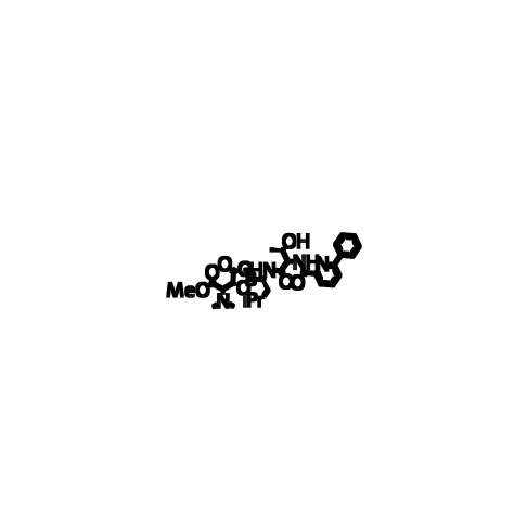 COC(=O)[C@@H]([C@H]1OB([C@H](CC(C)C)NC(=O)C(NC(=O)c2cccc(-c3ccccc3)n2)[C@@H](C)O)OC1=O)N(C)C